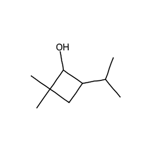 CC(C)C1CC(C)(C)C1O